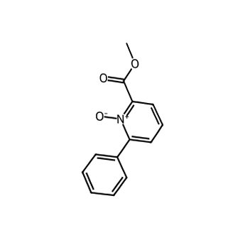 COC(=O)c1cccc(-c2ccccc2)[n+]1[O-]